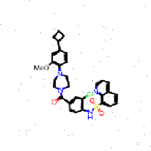 COc1cc(C2CCC2)ccc1N1CCN(C(=O)c2ccc(NS(=O)(=O)c3cccc4cccnc34)c(Cl)c2)CC1